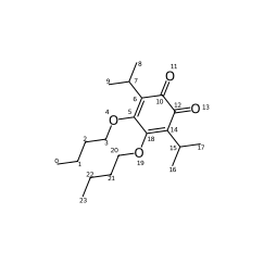 CCCCOC1=C(C(C)C)C(=O)C(=O)C(C(C)C)=C1OCCCC